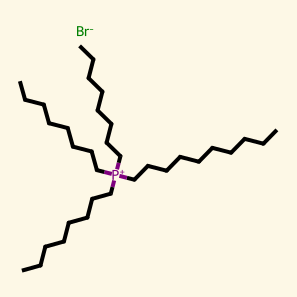 CCCCCCCCCC[P+](CCCCCCCC)(CCCCCCCC)CCCCCCCC.[Br-]